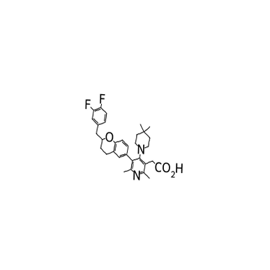 Cc1nc(C)c(-c2ccc3c(c2)CCC(Cc2ccc(F)c(F)c2)O3)c(N2CCC(C)(C)CC2)c1CC(=O)O